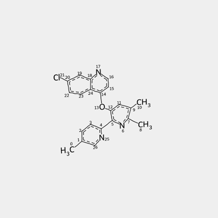 Cc1ccc(-c2nc(C)c(C)cc2Oc2ccnc3cc(Cl)ccc23)nc1